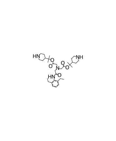 CCc1cccc(CC)c1NC(=O)CN(CC(=O)OC(C)(C)C1CCNCC1)CC(=O)OC(C)(C)C1CCNCC1